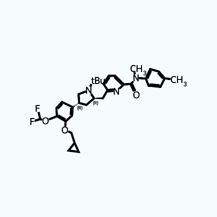 Cc1ccc(N(C)C(=O)c2cccc(C[C@H]3C[C@H](c4ccc(OC(F)F)c(OCC5CC5)c4)CN3C(C)(C)C)n2)cc1